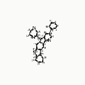 c1ccc(-c2cnc3c4cc5c(cc4n(-c4cnccn4)c3c2)sc2ccccc25)cc1